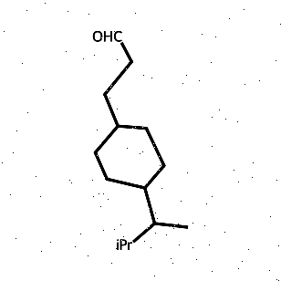 CC(C)C(C)C1CCC(CCC=O)CC1